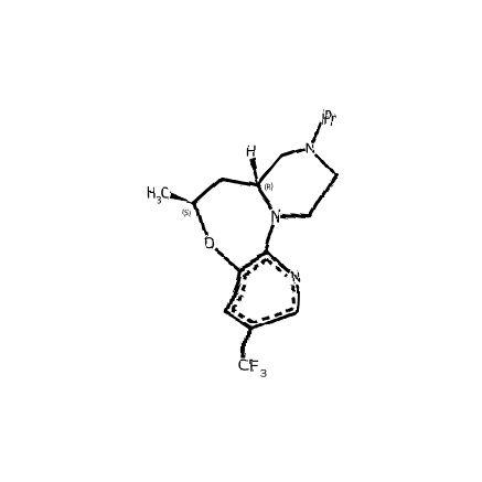 CC(C)N1CCN2c3ncc(C(F)(F)F)cc3O[C@@H](C)C[C@@H]2C1